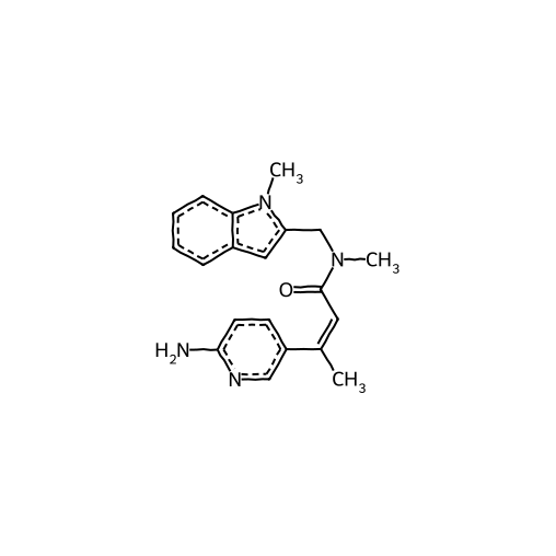 CC(=CC(=O)N(C)Cc1cc2ccccc2n1C)c1ccc(N)nc1